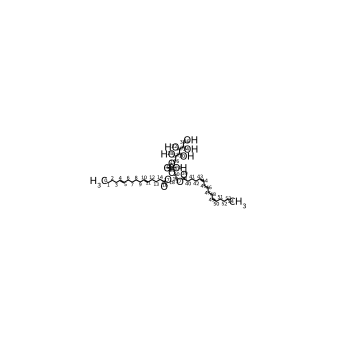 CCCCC=CCCCCC=CCCCC(=O)OC[C@H](COP(=O)(O)OC[C@@H](O)[C@@H](O)[C@H](O)[C@H](O)CO)OC(=O)CCC/C=C\CCCC/C=C\CCCC